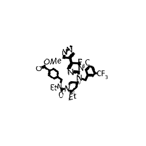 CC[C@@H]1C[C@H](N(Cc2cc(C(F)(F)F)cc(C(F)(F)F)c2)c2ncc(-c3cnn(C)c3)cn2)CN1C(=O)N(CC)CC1CCC(C(=O)OC)CC1